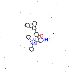 C1=C(c2nc(-c3ccccc3)nc(-c3ccccc3)n2)c2c(oc3cc(-c4cc5c6c(cccc6c4)-c4ccccc4-5)ccc23)NC1